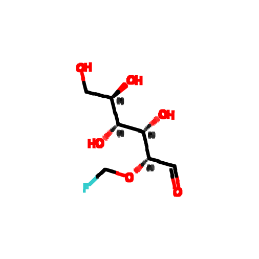 O=C[C@H](OCF)[C@@H](O)[C@H](O)[C@H](O)CO